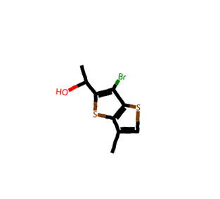 Cc1csc2c(Br)c(C(C)O)sc12